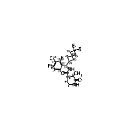 C[C@@H]1C(=O)NCCN1C(=O)N[C@H](c1ccc(F)c(Cl)c1F)C1CC2(C1)CC(F)(F)C2